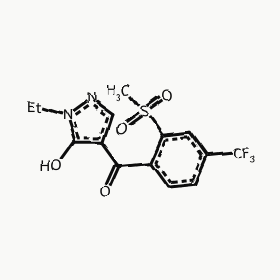 CCn1ncc(C(=O)c2ccc(C(F)(F)F)cc2S(C)(=O)=O)c1O